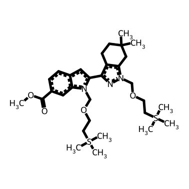 COC(=O)c1ccc2cc(-c3nn(COCCS(C)(C)C)c4c3CCC(C)(C)C4)n(COCCS(C)(C)C)c2c1